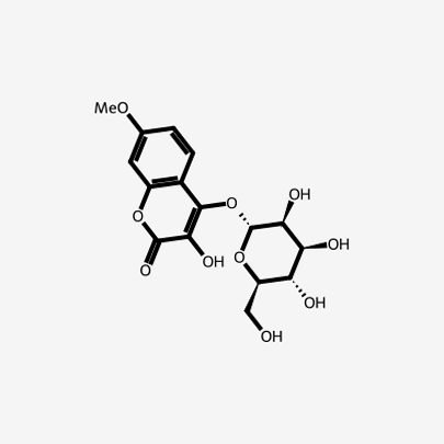 COc1ccc2c(O[C@H]3O[C@H](CO)[C@@H](O)[C@H](O)[C@@H]3O)c(O)c(=O)oc2c1